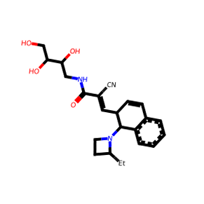 CCC1CCN1C1c2ccccc2C=CC1/C=C(\C#N)C(=O)NCC(O)C(O)CO